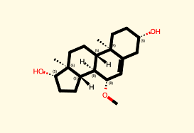 CO[C@H]1C=C2C[C@@H](O)CC[C@]2(C)[C@H]2CC[C@]3(C)[C@@H](O)CC[C@H]3[C@H]12